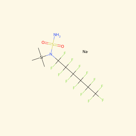 C[Si](C)(C)N(C(F)(F)C(F)(F)C(F)(F)C(F)(F)C(F)(F)C(F)(F)F)S(N)(=O)=O.[Na]